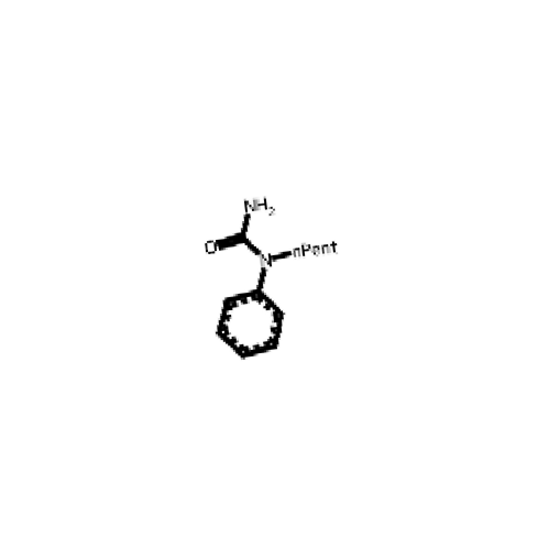 [CH2]CCCCN(C(N)=O)c1ccccc1